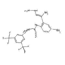 Bc1ccc(NC(=S)Nc2cc(C(F)(F)F)cc(C(F)(F)F)c2)c(/C(N)=N/NN)c1